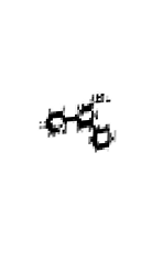 CC(C)(C)c1nc(-c2cccnc2)cc(-c2ccccn2)n1